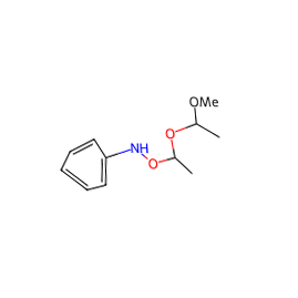 COC(C)OC(C)ONc1ccccc1